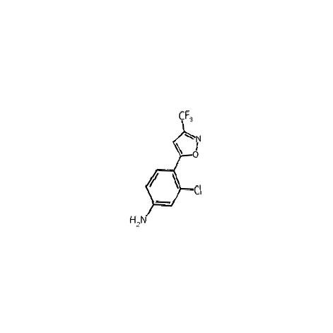 Nc1ccc(-c2cc(C(F)(F)F)no2)c(Cl)c1